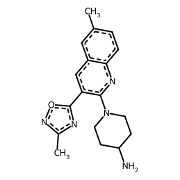 Cc1ccc2nc(N3CCC(N)CC3)c(-c3nc(C)no3)cc2c1